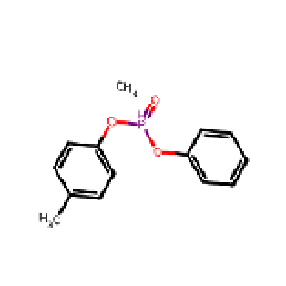 C.Cc1ccc(O[PH](=O)Oc2ccccc2)cc1